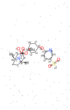 CC(C)(C)OC(=O)N1[C@@H]2CC[C@H]1C[C@H](O[C@H]1CC[C@H](Oc3ccc(S(C)(=O)=O)cn3)CC1)C2